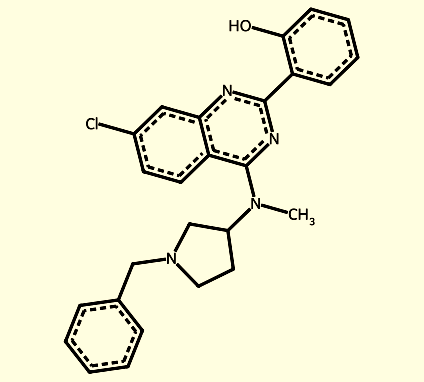 CN(c1nc(-c2ccccc2O)nc2cc(Cl)ccc12)C1CCN(Cc2ccccc2)C1